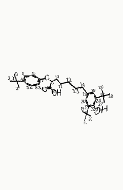 CC(C)(C)c1ccc(OC(CCCCCc2cc(C(C)(C)C)c(O)c(C(C)(C)C)c2)C(=O)O)cc1